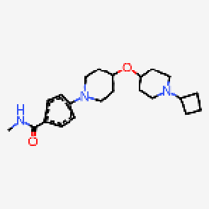 CNC(=O)c1ccc(N2CCC(OC3CCN(C4CCC4)CC3)CC2)cc1